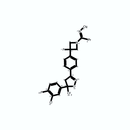 CC(C)C(=NC#N)N1CC(F)(c2ccc(C3=NOC(c4ccc(F)c(Cl)c4)(C(F)(F)F)C3)cc2)C1